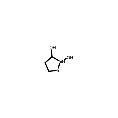 OC1CCS[SiH]1O